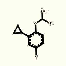 CC(Oc1ccc(Cl)cc1C1CC1)C(=O)O